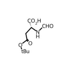 CC(C)(C)OC(=O)C[C@@H](NC=O)C(=O)O